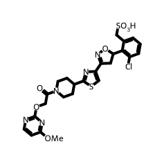 COc1ccnc(OCC(=O)N2CCC(c3nc(C4=NOC(c5c(Cl)cccc5CS(=O)(=O)O)C4)cs3)CC2)n1